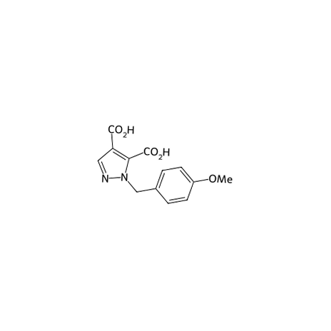 COc1ccc(Cn2ncc(C(=O)O)c2C(=O)O)cc1